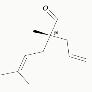 C=CC[C@@](C)(C=O)CC=C(C)C